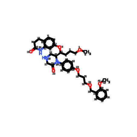 COCCCC(Oc1ccc2c(c1)NC(=O)CC2)[C@@H]1CNCC(=O)N1c1ccc(OCCCOCc2ccccc2OC)cc1